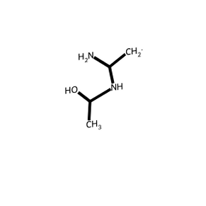 [CH2]C(N)NC(C)O